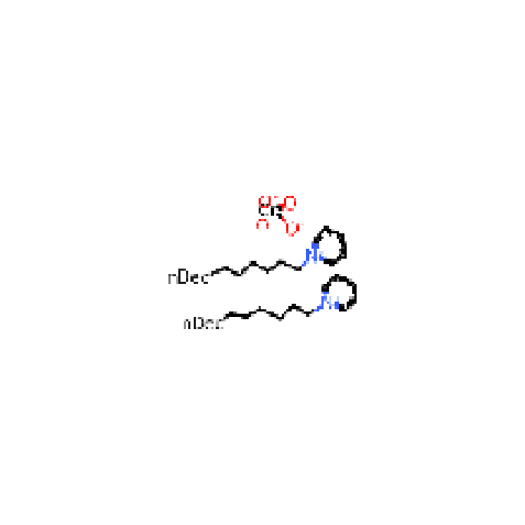 CCCCCCCCCCCCCCCC[n+]1ccccc1.CCCCCCCCCCCCCCCC[n+]1ccccc1.[O]=[Cr](=[O])([O-])[O-]